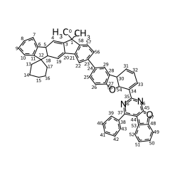 CC1(C)C2=CC3c4ccccc4C4(CCCCC4)C3C=C2c2cc(-c3ccc4c(c3)C3C=CC=C(c5nc(-c6ccccc6)c6c(n5)oc5ccccc56)C3O4)ccc21